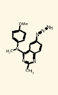 COc1ccc(N(C)c2nc(C)nc3ccc(N=[N+]=N)cc23)cc1